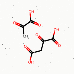 CC(=O)C(=O)O.O=C(O)CC(=O)C(=O)O